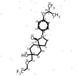 C[C@@H](Oc1ccc(N2CCC3(CCC(O)(COCC(F)(F)F)CC3)C2=O)cc1)C(F)(F)F